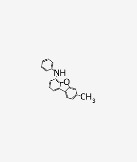 Cc1ccc2c(c1)oc1c(Nc3ccccc3)cccc12